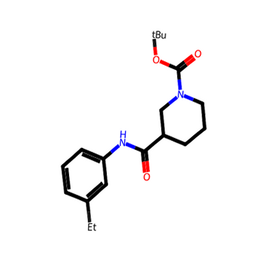 CCc1cccc(NC(=O)C2CCCN(C(=O)OC(C)(C)C)C2)c1